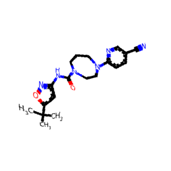 CC(C)(C)c1cc(NC(=O)N2CCCN(c3ccc(C#N)cn3)CC2)no1